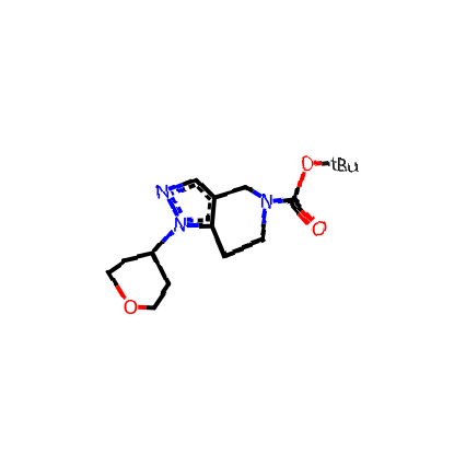 CC(C)(C)OC(=O)N1CCc2c(cnn2C2CCOCC2)C1